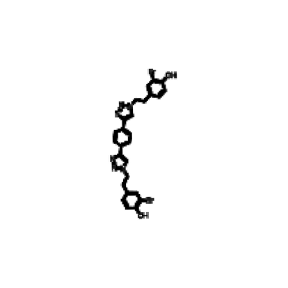 Oc1ccc(CCn2cc(-c3ccc(-c4cn(CCc5ccc(O)c(Br)c5)nn4)cc3)nn2)cc1Br